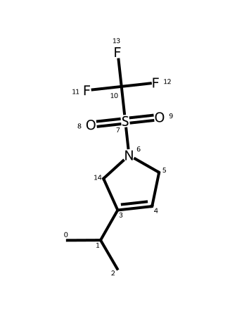 CC(C)C1=CCN(S(=O)(=O)C(F)(F)F)C1